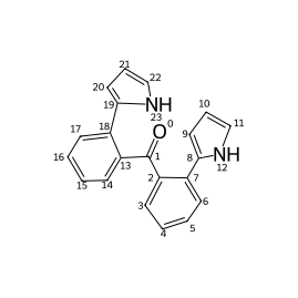 O=C(c1ccccc1-c1ccc[nH]1)c1ccccc1-c1ccc[nH]1